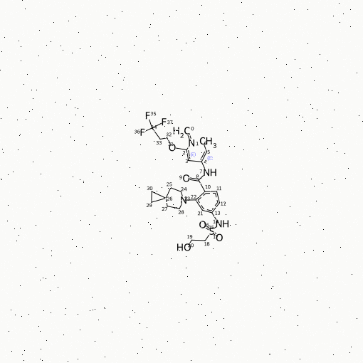 C=N/C(=C\C(=C/C)NC(=O)c1ccc(NS(=O)(=O)CCO)cc1N1CCC2(CC1)CC2)OCCC(F)(F)F